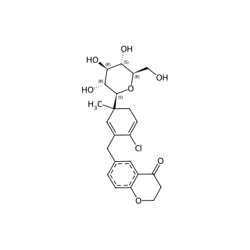 CC1([C@@H]2O[C@H](CO)[C@@H](O)[C@H](O)[C@H]2O)C=C(Cc2ccc3c(c2)C(=O)CCO3)C(Cl)=CC1